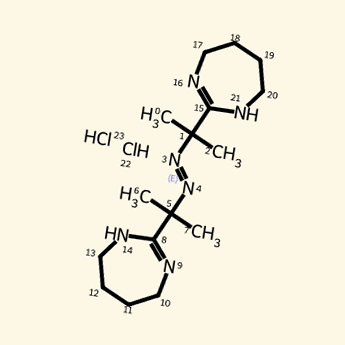 CC(C)(/N=N/C(C)(C)C1=NCCCCN1)C1=NCCCCN1.Cl.Cl